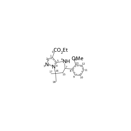 CCOC(=O)c1cnn2c1NC(c1ccccc1OC)CC2(C)C